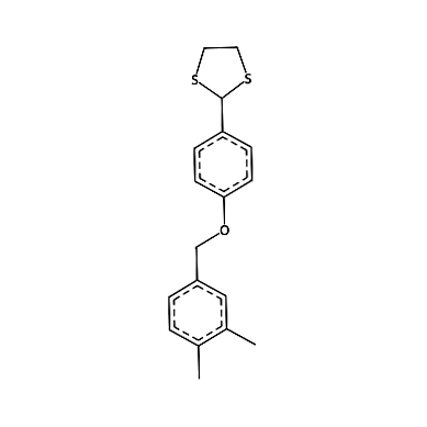 Cc1ccc(COc2ccc(C3SCCS3)cc2)cc1C